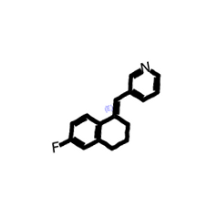 Fc1ccc2c(c1)CCC/C2=C\c1cccnc1